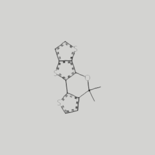 CC1(C)Oc2c(sc3ccsc23)-c2sccc21